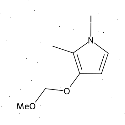 COCOc1ccn(I)c1C